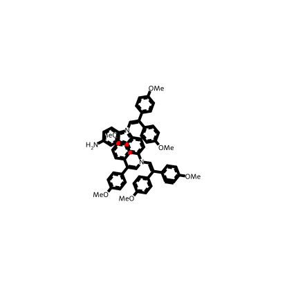 COc1c#cc(/C(=C/N(C=C(c2ccc(OC)cc2)c2ccc(OC)cc2)c2ccc3c(c2)c2cc(N)ccc2n3C=C(c2ccc(OC)cc2)c2ccc(OC)cc2)c2ccc(OC)cc2)cc1